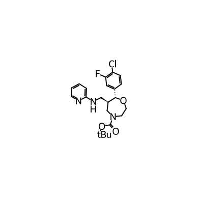 CC(C)(C)OC(=O)N1CCO[C@@H](c2ccc(Cl)c(F)c2)[C@H](CNc2ccccn2)C1